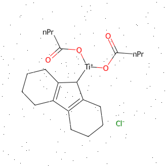 CCCC(=O)[O][Ti+]([O]C(=O)CCC)[CH]1C2=C(CCCC2)C2=C1CCCC2.[Cl-]